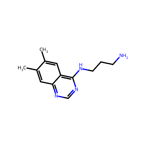 Cc1cc2ncnc(NCCCN)c2cc1C